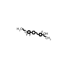 C=CCCOc1ccc(C2CCC(CCc3ccc(C(O)CCC)c(F)c3)CC2)c(F)c1F